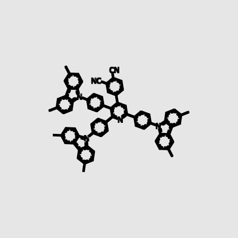 Cc1ccc2c(c1)c1cc(C)ccc1n2-c1ccc(-c2cc(-c3ccc(C#N)c(C#N)c3)c(-c3ccc(-n4c5ccc(C)cc5c5cc(C)ccc54)cc3)c(-c3ccc(-n4c5ccc(C)cc5c5cc(C)ccc54)cc3)n2)cc1